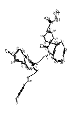 C=CC#CCCCn1c(CN2C(=O)C3(CCN(C(=O)NC(C)C)CC3)c3ccncc32)nc2cc(Cl)ccc21